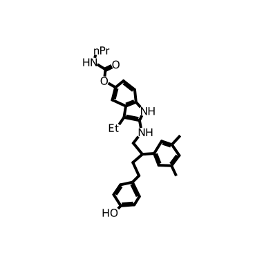 CCCNC(=O)Oc1ccc2[nH]c(NCC(CCc3ccc(O)cc3)c3cc(C)cc(C)c3)c(CC)c2c1